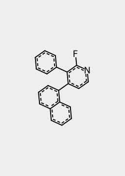 Fc1nccc(-c2cccc3ccccc23)c1-c1ccccc1